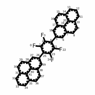 Fc1c(F)c(-c2cc3ccc4cccc5ccc(c2)c3c45)c(F)c(F)c1-c1cc2ccc3cccc4ccc(c1)c2c34